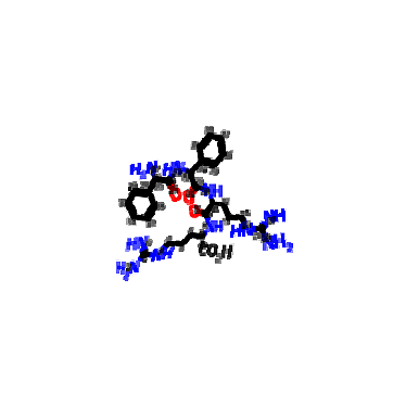 N=C(N)NCCC[C@H](NC(=O)[C@H](CCCNC(=N)N)NC(=O)[C@@H](NC(=O)[C@@H](N)c1ccccc1)c1ccccc1)C(=O)O